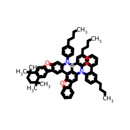 CCCCc1ccc(N2B3c4cc(CCCC)ccc4N(c4ccc(CCCC)cc4-c4ccccc4)c4cc5c(oc6ccccc65)c(c43)-c3cc4c(cc32)oc2cc3c(cc24)C(C)(C)CCC3(C)C)cc1